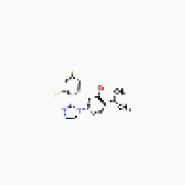 CC(C)c1ccc(-n2ccnc2-c2ccc(F)cc2F)cc1Br